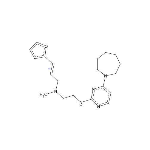 CN(C/C=C/c1ccco1)CCNc1nccc(N2CCCCCC2)n1